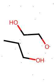 C[CH]CO.[O]CCO